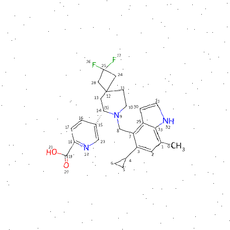 Cc1cc(C2CC2)c(CN2CCC3(C[C@H]2c2ccc(C(=O)O)nc2)CC(F)(F)C3)c2cc[nH]c12